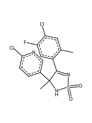 Cc1cc(Cl)c(F)cc1C1=NS(=O)(=O)NC1(C)c1ccc(Cl)nc1